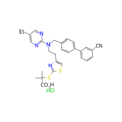 CCc1cnc(N(CCc2csc(SC(C)(C)C(=O)O)n2)Cc2ccc(-c3cccc(C#N)c3)cc2)nc1.Cl